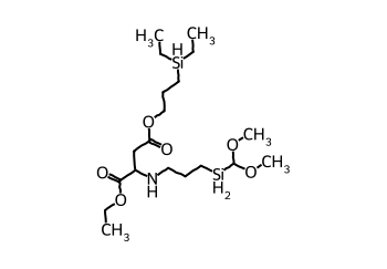 CCOC(=O)C(CC(=O)OCCC[SiH](CC)CC)NCCC[SiH2]C(OC)OC